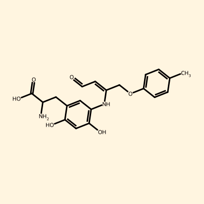 Cc1ccc(OCC(=CC=O)Nc2cc(CC(N)C(=O)O)c(O)cc2O)cc1